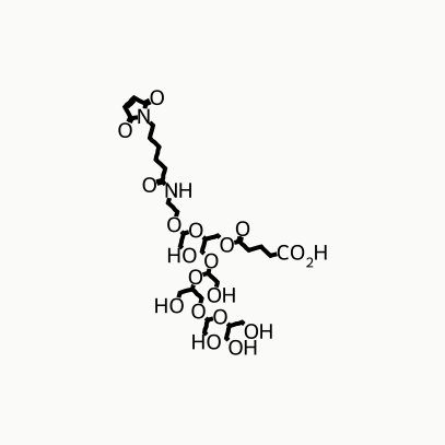 O=C(O)CCCC(=O)OCC(COC(CO)OC(CO)COC(CO)OC(CO)CO)OC(CO)OCCNC(=O)CCCCCN1C(=O)C=CC1=O